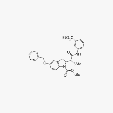 CCOC(=O)c1cccc(NC(=O)C(SC)C2Cc3cc(OCc4ccccc4)ccc3N2C(=O)OC(C)(C)C)c1